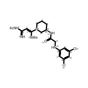 CN/C(=C\C(=N)NC(C)=O)N1CCC[C@@H](NC(=O)CNc2cc(Cl)cc(Cl)c2)C1